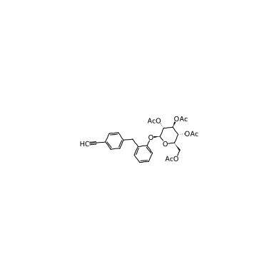 C#Cc1ccc(Cc2ccccc2O[C@@H]2O[C@H](COC(C)=O)[C@@H](OC(C)=O)[C@H](OC(C)=O)[C@H]2OC(C)=O)cc1